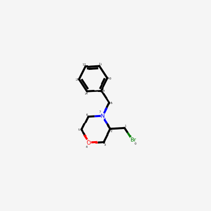 BrCC1COCCN1Cc1ccccc1